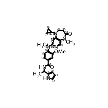 COc1cc(C(=O)NC(C)c2ccc[nH]2)ccc1N(C)c1ncc2c(n1)N(C1CC1)CCC(=O)N2C